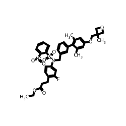 CCOC(=O)CCc1ccc(N(Cc2cccc(-c3c(C)cc(OCC4(C)COC4)cc3C)c2)S(=O)(=O)c2ccccc2[N+](=O)[O-])cc1F